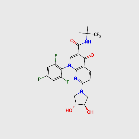 CC(C)(NC(=O)c1cn(-c2c(F)cc(F)cc2F)c2nc(N3C[C@@H](O)[C@H](O)C3)ccc2c1=O)C(F)(F)F